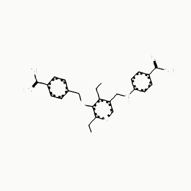 N=C(N)c1ccc(COc2c(CF)ncc(CNc3ccc(C(=N)N)cc3)c2CF)cc1